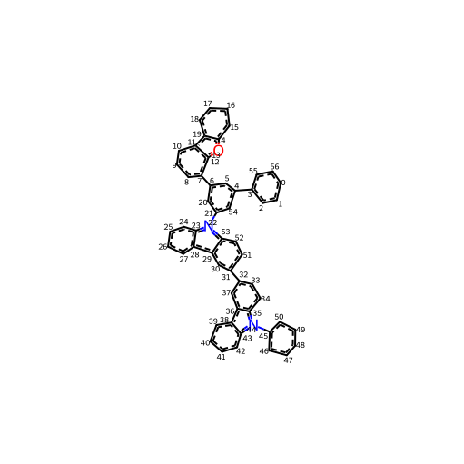 c1ccc(-c2cc(-c3cccc4c3oc3ccccc34)cc(-n3c4ccccc4c4cc(-c5ccc6c(c5)c5ccccc5n6-c5ccccc5)ccc43)c2)cc1